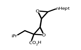 CCCCCCCC1OC1C1OC1(CC(C)C)C(=O)O